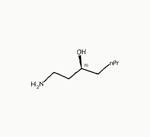 CCCC[C@H](O)CCN